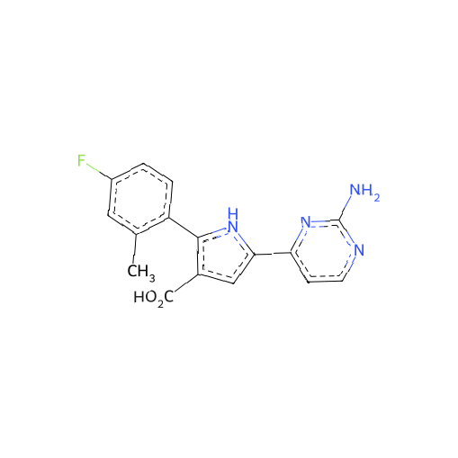 Cc1cc(F)ccc1-c1[nH]c(-c2ccnc(N)n2)cc1C(=O)O